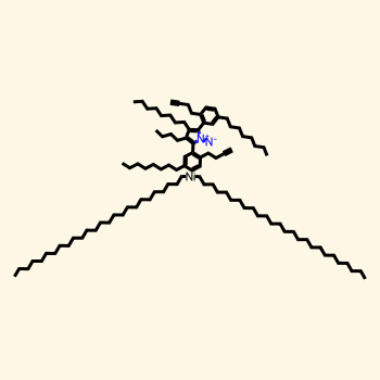 C#CCCc1ccc(CCCCCCCC)cc1C1=C(CCCC)C(CCCCCCCC)=C(c2cc(CCCCCCCC)ccc2CCC#C)[N+]1=[N-].CCCCCCCCCCCCCCCCCCCCCCCCC[CH2][Ni][CH2]CCCCCCCCCCCCCCCCCCCCCCCCC